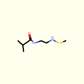 CSNCCNC(=O)C(C)C